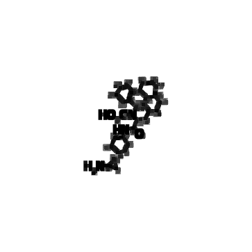 N[C@@H]1C[C@H]1c1ccc(NC(=O)C(Cc2ccc3ccccc3c2)N(Cc2ccccc2)C(=O)O)cc1